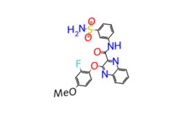 COc1ccc(Oc2nc3ccccc3nc2C(=O)Nc2cccc(S(N)(=O)=O)c2)c(F)c1